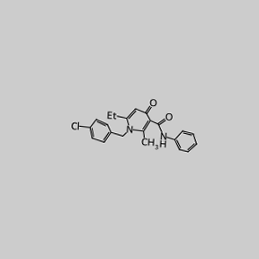 CCc1cc(=O)c(C(=O)Nc2ccccc2)c(C)n1Cc1ccc(Cl)cc1